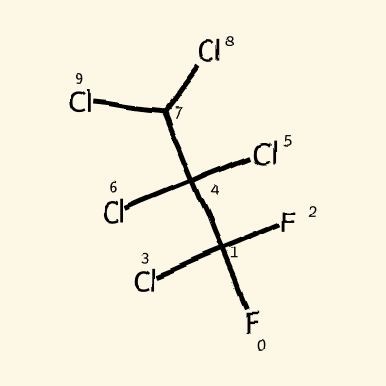 FC(F)(Cl)C(Cl)(Cl)C(Cl)Cl